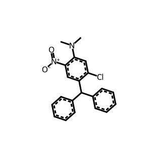 CN(C)c1cc(Cl)c(C(c2ccccc2)c2ccccc2)cc1[N+](=O)[O-]